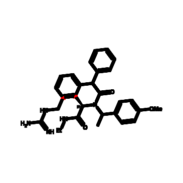 CCNC(=O)[C@@H](CCCNC(=N)N)N(C(=O)C(c1ccccc1)c1ccccc1)C(C)c1ccc(OC)cc1